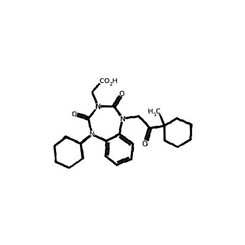 CC1(C(=O)CN2C(=O)N(CC(=O)O)C(=O)N(C3CCCCC3)c3ccccc32)CCCCC1